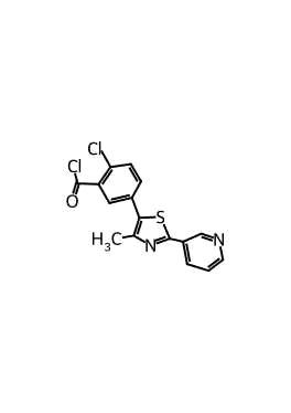 Cc1nc(-c2cccnc2)sc1-c1ccc(Cl)c(C(=O)Cl)c1